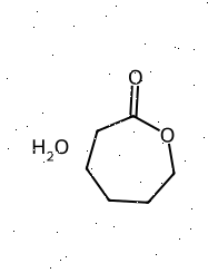 O.O=C1CCCCCO1